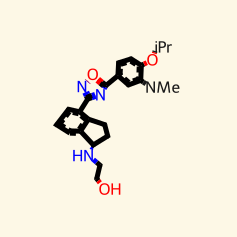 CNc1cc(-c2nc(-c3cccc4c3CC[C@H]4NCCO)no2)ccc1OC(C)C